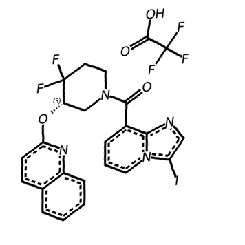 O=C(O)C(F)(F)F.O=C(c1cccn2c(I)cnc12)N1CCC(F)(F)[C@@H](Oc2ccc3ccccc3n2)C1